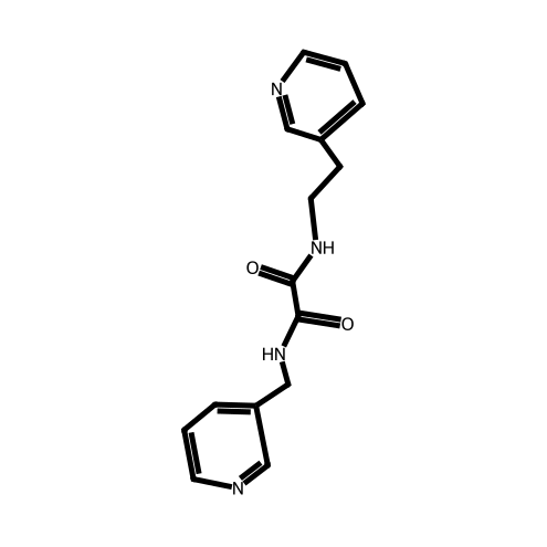 O=C(NCCc1cccnc1)C(=O)NCc1cccnc1